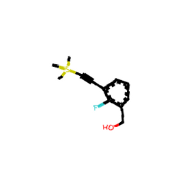 CS(C)(C)C#Cc1cccc(CO)c1F